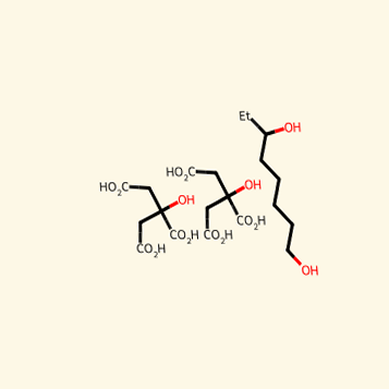 CCC(O)CCCCCO.O=C(O)CC(O)(CC(=O)O)C(=O)O.O=C(O)CC(O)(CC(=O)O)C(=O)O